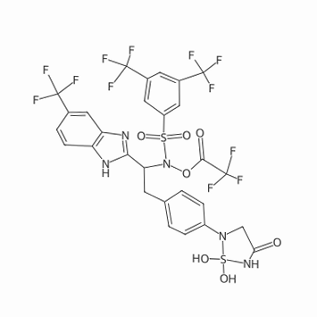 O=C1CN(c2ccc(CC(c3nc4cc(C(F)(F)F)ccc4[nH]3)N(OC(=O)C(F)(F)F)S(=O)(=O)c3cc(C(F)(F)F)cc(C(F)(F)F)c3)cc2)S(O)(O)N1